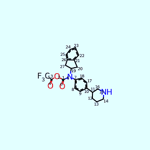 O=C(OC(=O)C(F)(F)F)N(c1ccc(C2CCCNC2)cc1)C1Cc2ccccc2C1